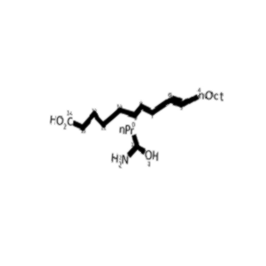 CCCC(N)O.CCCCCCCCC=CCCCCCCCC(=O)O